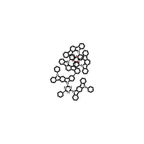 c1ccc(-c2nc(-n3c4ccccc4c4cc5c(cc43)c3ccccc3n5-c3ccccc3)nc(-n3c4ccc(-c5cccc6c5c5ccc7c8ccccc8n(-c8ccccc8)c7c5n6-c5nc(-n6c7ccccc7c7ccc8c9ccccc9n(-c9ccccc9)c8c76)nc(-n6c7ccccc7c7ccc8c9ccccc9n(-c9ccccc9)c8c76)n5)cc4c4cc5c(cc43)c3ccccc3n5-c3ccccc3)n2)cc1